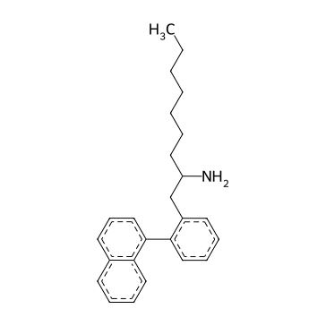 CCCCCCCC(N)Cc1ccccc1-c1cccc2ccccc12